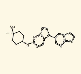 C[C@]1(O)CC[C@@H](Nc2ncc3c(-c4cnc5nccn5c4)ccn3n2)CC1